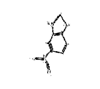 O=[SH](=O)c1ccc2c(c1)OCN2